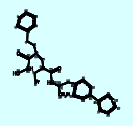 CC(C)CN(C[C@H](CCc1ccccc1)C(=O)NO)C(=O)N[C@@H](Cc1ccc(-c2ccccc2)cc1)C(=O)O